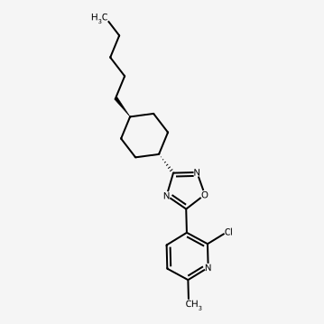 CCCCC[C@H]1CC[C@H](c2noc(-c3ccc(C)nc3Cl)n2)CC1